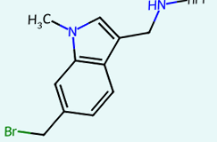 CCCNCc1cn(C)c2cc(CBr)ccc12